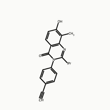 C#Cc1ccc(-n2c(C(C)C)nc3c(C)c(O)ccc3c2=O)cc1